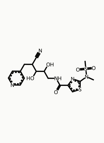 CN(c1nc(C(=O)NCC(O)C(O)C(C#N)Cc2ccncc2)cs1)S(C)(=O)=O